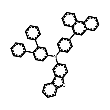 c1ccc(-c2ccc(N(c3ccc(-c4cc5ccccc5c5ccccc45)cc3)c3ccc4oc5ccccc5c4c3)cc2-c2ccccc2)cc1